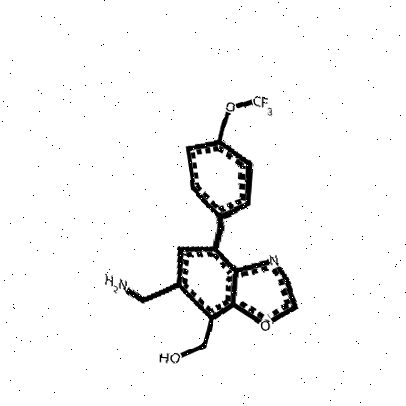 NCc1cc(-c2ccc(OC(F)(F)F)cc2)c2ncoc2c1CO